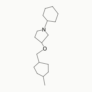 CC1CCC(COC2CCN(C3CCCCC3)C2)CC1